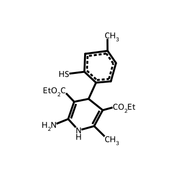 CCOC(=O)C1=C(C)NC(N)=C(C(=O)OCC)C1c1ccc(C)cc1S